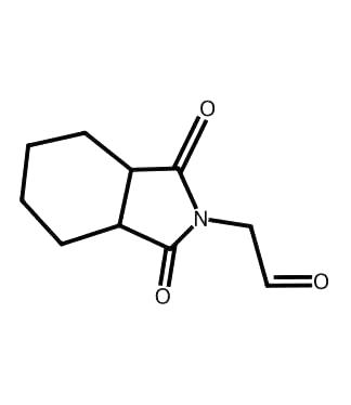 O=CCN1C(=O)C2CCCCC2C1=O